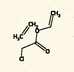 C=C.C=COC(=O)CCl